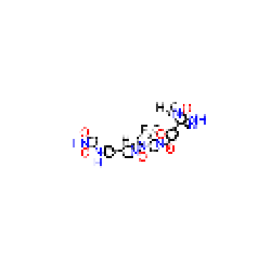 CN(C(=O)N1CCC(c2ccc(NC3CCC(=O)NC3=O)cc2)CC1)C1CCN(C(=O)c2ccc(-c3cn(C)c(=O)c4[nH]ncc34)cc2OC(F)(F)F)CC1